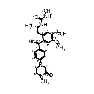 CNC(=O)N[C@@H](C)Cc1cc(OC)c(OC)cc1C(=N)c1ccc(N2CCN(C)C(=O)C2)cc1